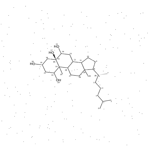 CC(C)CCC[C@@H](C)C1CCC2C3CC(O)[C@@]4(O)CC(O)CC(O)C4(C)C3CCC21C